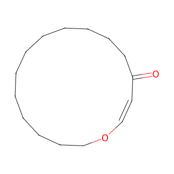 O=C1C=COCCCCCCCCCCCC1